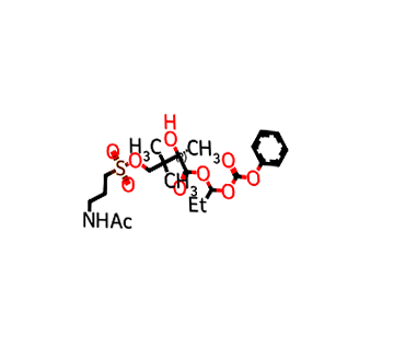 CCC(OC(=O)Oc1ccccc1)OC(=O)[C@](C)(O)C(C)(C)COS(=O)(=O)CCCNC(C)=O